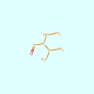 O=PP(PP)P(P)P